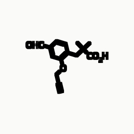 C#CCOc1cc(C=O)ccc1CC(C)(C)C(=O)O